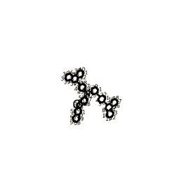 c1cc(-c2ccc(-c3cc4ccccc4c4ccccc34)cc2)cc(N(c2ccc(-c3cc4ccccc4c4ccccc34)cc2)c2ccc3c(c2)oc2cc4ccccc4cc23)c1